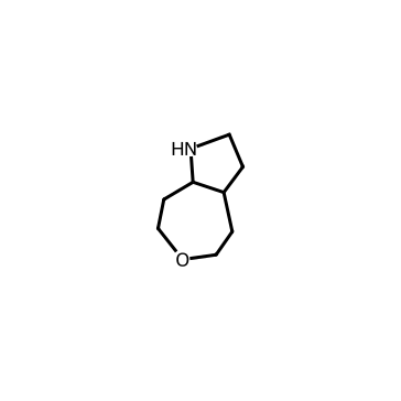 C1CC2CCOCCC2N1